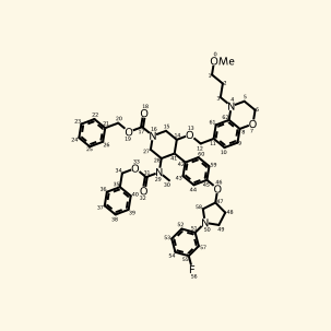 COCCCN1CCOc2ccc(COC3CN(C(=O)OCc4ccccc4)CC(N(C)C(=O)OCc4ccccc4)C3c3ccc(OC4CCN(c5cccc(F)c5)C4)cc3)cc21